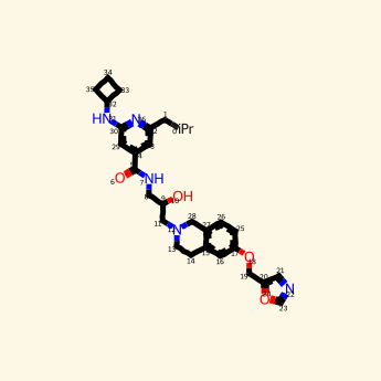 CC(C)Cc1cc(C(=O)NCC(O)CN2CCc3cc(OCc4cnco4)ccc3C2)cc(NC2CCC2)n1